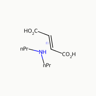 CCCNCCC.O=C(O)/C=C/C(=O)O